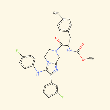 CC(C)(C)OC(=O)N[C@@H](Cc1ccc([N+](=O)[O-])cc1)C(=O)N1CCn2c(nc(-c3cccc(F)c3)c2Nc2ccc(F)cc2)C1